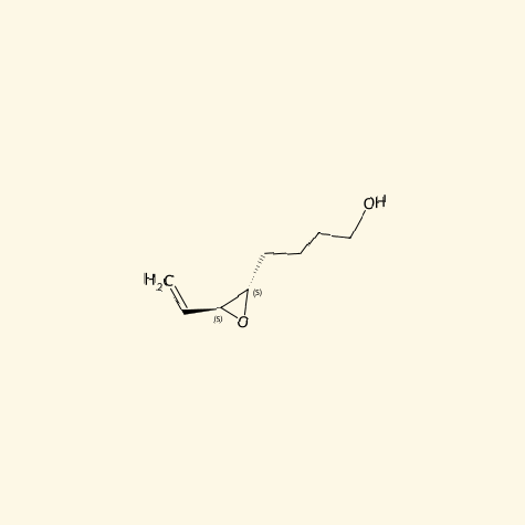 C=C[C@@H]1O[C@H]1CCCCO